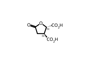 O=C1C[C@H](C(=O)O)[C@@H](C(=O)O)O1